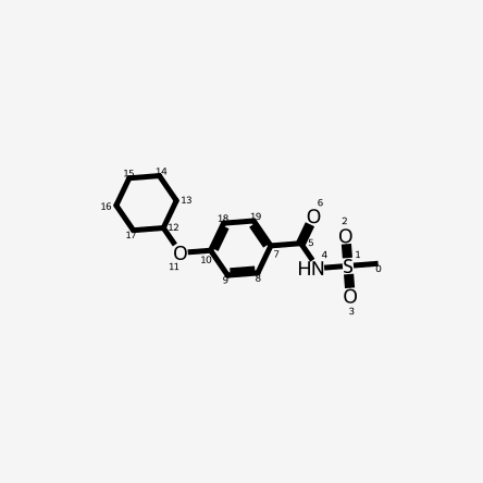 CS(=O)(=O)NC(=O)c1ccc(OC2CCCCC2)cc1